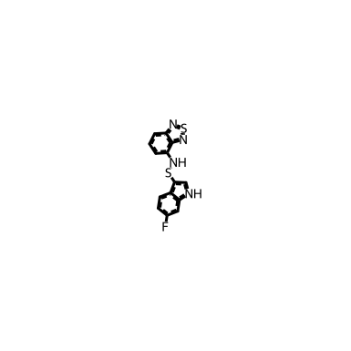 Fc1ccc2c(SNc3cccc4nsnc34)c[nH]c2c1